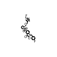 O=C1C(=O)N(Cc2ccc(F)cc2)c2ccc(S(=O)(=O)N3CCC[C@H]3COCc3cn(CF)nn3)cc21